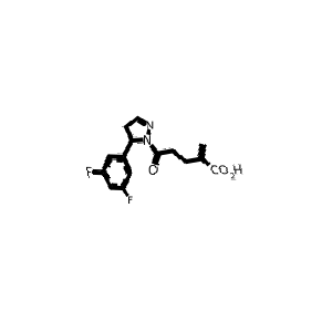 C=C(CCC(=O)N1N=CCC1c1cc(F)cc(F)c1)C(=O)O